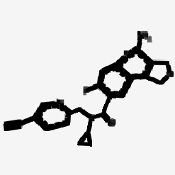 C#Cc1ccc(CN(C(=O)c2cc3c4c(c(N)nc3cc2F)COC4)C2CC2)nc1